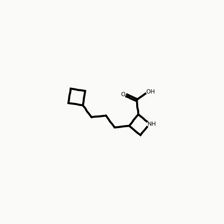 O=C(O)C1NCC1CCCC1CCC1